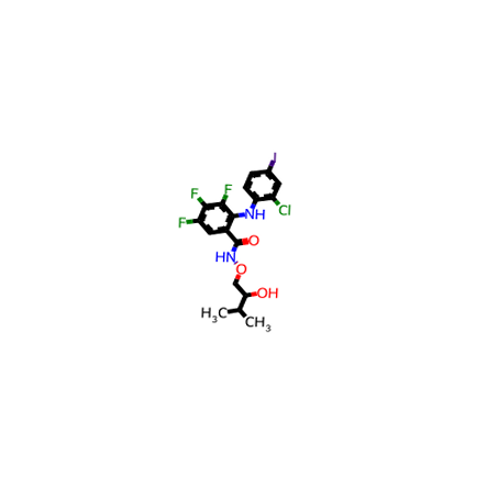 CC(C)C(O)CONC(=O)c1cc(F)c(F)c(F)c1Nc1ccc(I)cc1Cl